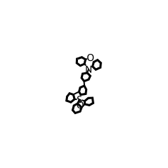 O=S12(c3ccccc3-c3ccccc31)c1ccccc1-c1cc(-c3ccc(N4c5ccccc5Oc5ccccc54)cc3)ccc12